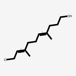 C/C(=C\CCl)CC/C=C(\C)CCCO